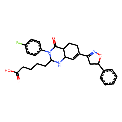 O=C(O)CCCCC1NC2C=C(C3=NOC(c4ccccc4)C3)CCC2C(=O)N1c1ccc(F)cc1